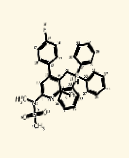 CC(C)c1nc(N(C)S(C)(=O)=O)cc(-c2ccc(F)cc2)c1C[PH](c1ccccc1)(c1ccccc1)c1ccccc1